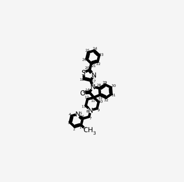 Cc1cccnc1CN1CCC2(CC1)C(=O)N(c1csc(-c3ccccc3)n1)c1ccccc12